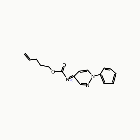 C=CCCCOC(=O)/N=c1\ccn(-c2ccccc2)nc1